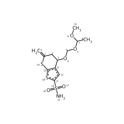 C=C1CC(OCOC(C)OC)c2cc(S(N)(=O)=O)sc2S1